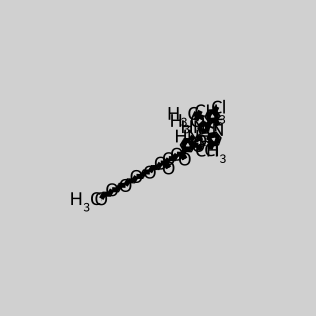 COCCOCCOCCOCCOCCOC(=O)OCOC(=O)c1ccc(NC(=O)[C@@H]2N[C@@H](CC(C)(C)C)[C@](C#N)(c3ccc(Cl)cc3F)[C@H]2c2cccc(Cl)c2F)c(OC)c1